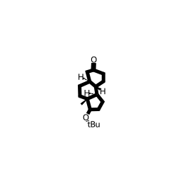 CC(C)(C)OC1CC[C@@H]2[C@H]3CCC(=O)C[C@@H]3CC[C@@]12C